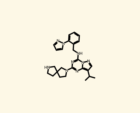 CC(C)c1cnn2c(NCc3ccccc3-n3cccn3)nc(N3CCC4(CCNC4)C3)nc12